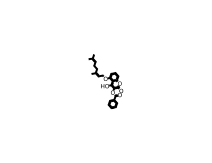 CC(C)=CCCC(C)=CCOc1cccc2oc(=O)c(OC(=O)c3ccccc3)c(O)c12